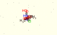 COc1cccc([C@H]2O[C@H](CC(=O)NCc3ccc(CC(=O)O)cc3)C(=O)N(CC(C)(C)CO)c3ccc(Cl)cc32)c1OC